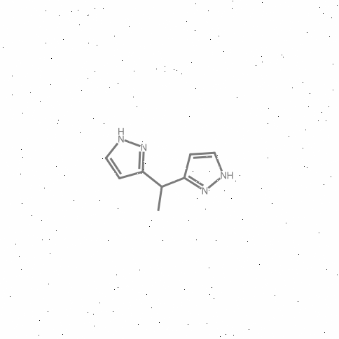 CC(c1cc[nH]n1)c1cc[nH]n1